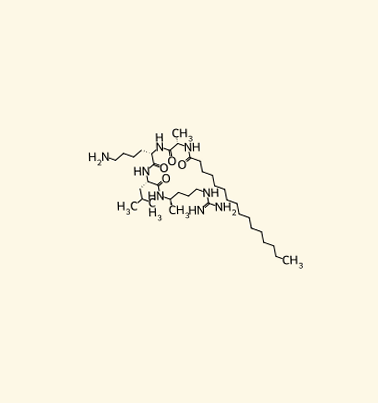 CCCCCCCCCCCCCCCC(=O)N[C@@H](C)C(=O)N[C@@H](CCCCN)C(=O)N[C@@H](CC(C)C)C(=O)N[C@H](C)CCCNC(=N)N